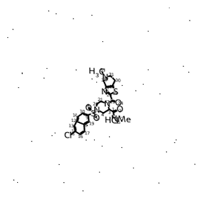 CNC(=O)C1CN(S(=O)(=O)c2ccc3cc(Cl)ccc3c2)CCN1C(=O)c1nc2c(s1)CCN(C)C2.Cl